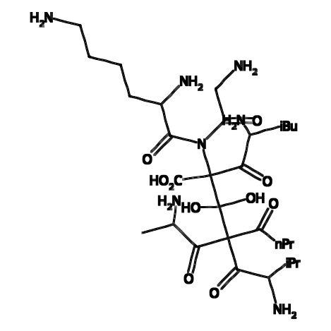 CCCC(=O)C(C(=O)C(C)N)(C(=O)C(N)C(C)C)C(O)(O)C(C(=O)O)(C(=O)C(N)C(C)CC)N(C(=O)CN)C(=O)C(N)CCCCN